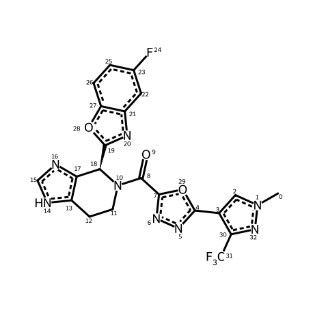 Cn1cc(-c2nnc(C(=O)N3CCc4[nH]cnc4[C@H]3c3nc4cc(F)ccc4o3)o2)c(C(F)(F)F)n1